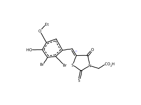 CCOc1cc(/C=C2\SC(=S)N(CC(=O)O)C2=O)c(Br)c(Br)c1O